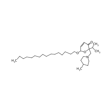 CCCCCCCCCCCCCCCCOC1C=CC(=O)C(CN2CCC(C)CC2)(C(C)C)O1